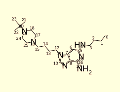 CCCCNc1cc2c(ncn2CCCCN2CCN(C(C)(C)C)CC2)c(N)n1